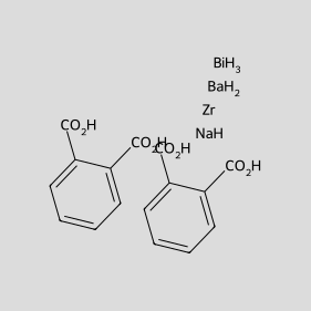 O=C(O)c1ccccc1C(=O)O.O=C(O)c1ccccc1C(=O)O.[BaH2].[BiH3].[NaH].[Zr]